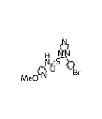 COc1ccc(NC(=O)CSC2=NC3(CCN(C)CC3)N=C2c2ccc(Br)cc2)cn1